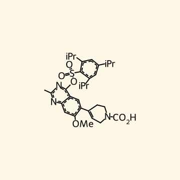 COc1cc2nc(C)nc(OS(=O)(=O)c3c(C(C)C)cc(C(C)C)cc3C(C)C)c2cc1C1=CCN(C(=O)O)CC1